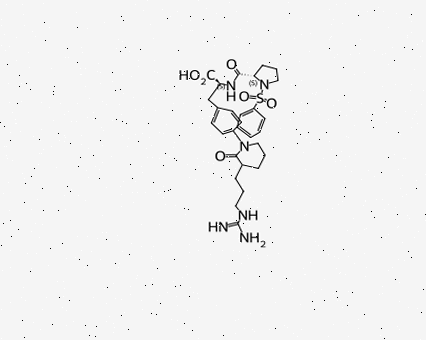 N=C(N)NCCCC1CCCN(c2ccc(C[C@H](NC(=O)[C@@H]3CCCN3S(=O)(=O)c3ccccc3)C(=O)O)cc2)C1=O